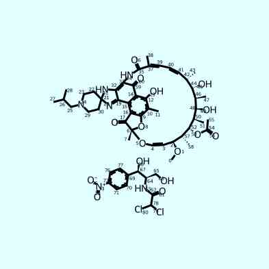 CO[C@H]1/C=C\O[C@@]2(C)Oc3c(C)c(O)c4c(c3C2=O)C2=NC3(CCN(CC(C)C)CC3)NC2=C(NC(=O)/C(C)=C\C=C/[C@H](C)[C@H](O)[C@@H](C)[C@@H](O)[C@@H](C)[C@H](OC(C)=O)[C@@H]1C)C4=O.O=C(N[C@H](CO)[C@H](O)c1ccc([N+](=O)[O-])cc1)C(Cl)Cl